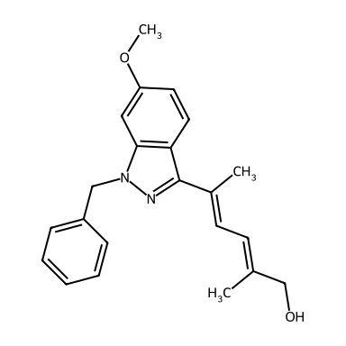 COc1ccc2c(/C(C)=C/C=C(\C)CO)nn(Cc3ccccc3)c2c1